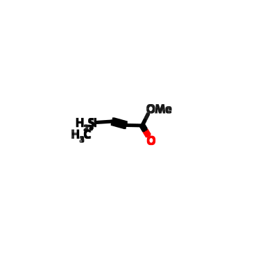 COC(=O)C#C[SiH2]C